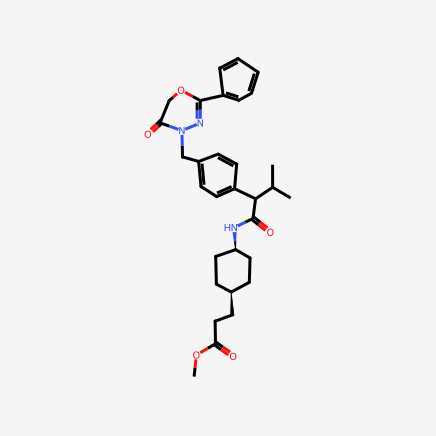 COC(=O)CC[C@H]1CC[C@@H](NC(=O)C(c2ccc(CN3N=C(c4ccccc4)OCC3=O)cc2)C(C)C)CC1